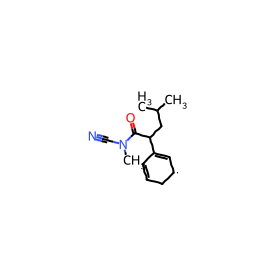 CC(C)CC(C(=O)N(C)C#N)C1=C[CH]CC=C1